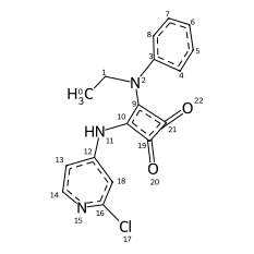 CCN(c1ccccc1)c1c(Nc2ccnc(Cl)c2)c(=O)c1=O